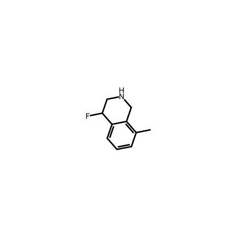 Cc1cccc2c1CNCC2F